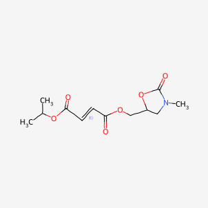 CC(C)OC(=O)/C=C/C(=O)OCC1CN(C)C(=O)O1